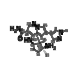 Cn1cc(-c2cc3c(N[C@@H]4CC[C@](C)(N)C4(C)C)c(C(N)=O)cnn3c2)cn1